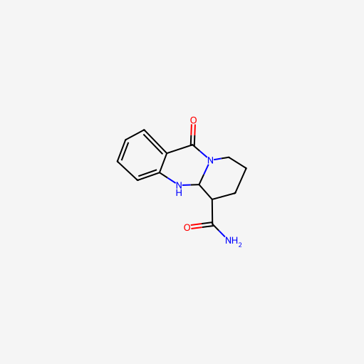 NC(=O)C1CCCN2C(=O)c3ccccc3NC12